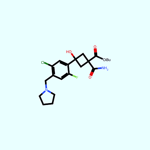 CC(C)COC(=O)C1(C(N)=O)CC(O)(c2cc(Cl)c(CN3CCCC3)cc2F)C1